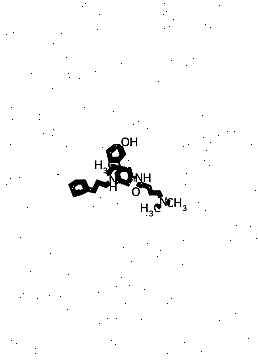 C[C@@H]1CN(CCCc2ccccc2)[C@H]2C[C@H](NC(=O)CCCN(C)C)C[C@]1(c1cccc(O)c1)C2